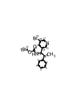 C[C@H](c1ccccc1)[C@@H](NC(=O)OC(C)(C)C)c1cncc(Br)c1